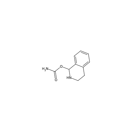 NC(=O)OC1NCCc2ccccc21